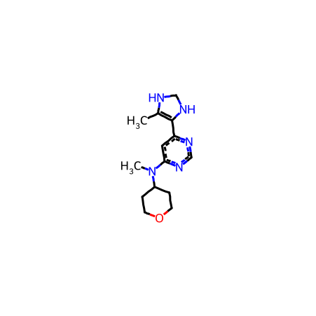 CC1=C(c2cc(N(C)C3CCOCC3)ncn2)NCN1